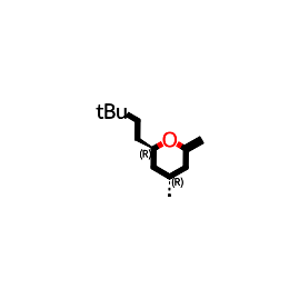 C=C1C[C@H](C)C[C@@H](CCC(C)(C)C)O1